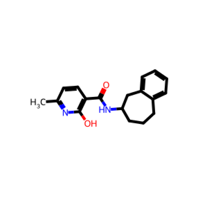 Cc1ccc(C(=O)NC2CCCc3ccccc3C2)c(O)n1